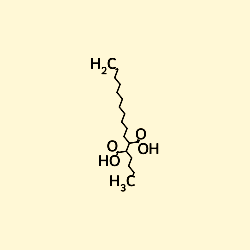 C=CCCCCCCCCCC(C(=O)O)C(CCCC)C(=O)O